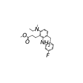 CCN(C)c1ccc(Cc2ccc(F)cc2)c(N)c1CCC(=O)OC